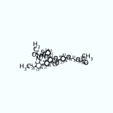 C=CC(=O)N(/N=C/C1CC(CCC)CCC1c1ccc2c(Cl)c(OC(=O)c3ccc(OCCCOCC4(CC)COC4)cc3)ccc2c1)c1nc2ccccc2s1